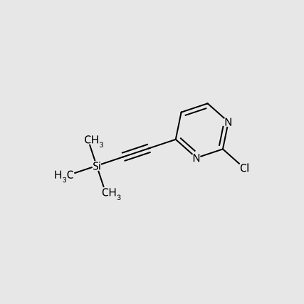 C[Si](C)(C)C#Cc1ccnc(Cl)n1